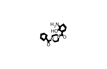 Nc1cccc(C(=O)N2CCN(C(=O)c3ccccc3)CC2)c1O